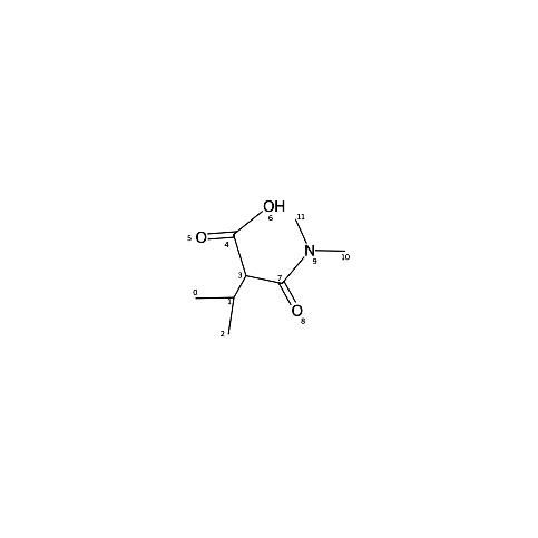 CC(C)C(C(=O)O)C(=O)N(C)C